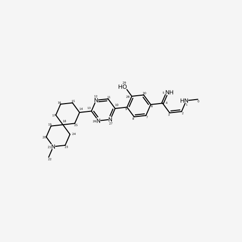 CN/C=C\C(=N)c1ccc(-c2cnc(C3CCCC4(CCN(C)CC4)C3)nn2)c(O)c1